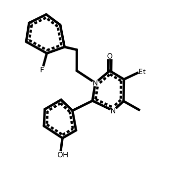 CCc1c(C)nc(-c2cccc(O)c2)n(CCc2ccccc2F)c1=O